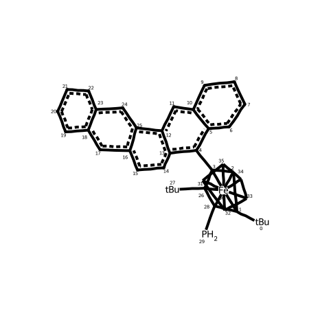 CC(C)(C)[C]12[CH]3[C]4(c5c6ccccc6cc6c5ccc5cc7ccccc7cc56)[C]5(C(C)(C)C)[C]1(P)[Fe]34251678[CH]2[CH]1[CH]6[CH]7[CH]28